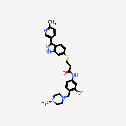 Cc1ccc(-c2n[nH]c3cc(SCCC(=O)Nc4ccc(CN5CCN(C)CC5)c(C(F)(F)F)c4)ccc23)cn1